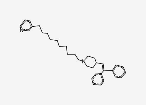 C(=C(c1ccccc1)c1ccccc1)C1CCN(CCCCCCCCCCc2cccnc2)CC1